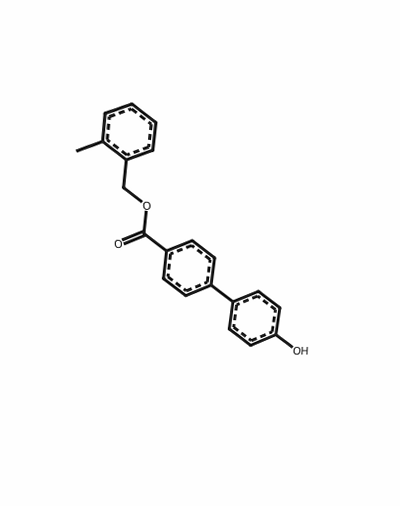 Cc1ccccc1COC(=O)c1ccc(-c2ccc(O)cc2)cc1